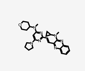 CN(c1cc(N2CCCC2)nc(C=Cc2nc3ccccc3nc2N(C)C2CC2)n1)C1CCOCC1